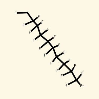 [CH2]CC(F)(F)C(F)(F)C(F)(F)C(F)(F)C(F)(F)C(F)(F)C(F)(F)C(F)(F)C(F)(F)CF